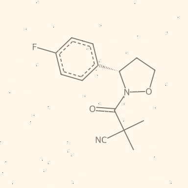 CC(C)(C#N)C(=O)N1OCC[C@H]1c1ccc(F)cc1